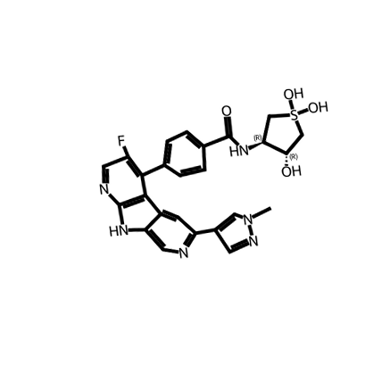 Cn1cc(-c2cc3c(cn2)[nH]c2ncc(F)c(-c4ccc(C(=O)N[C@H]5CS(O)(O)C[C@@H]5O)cc4)c23)cn1